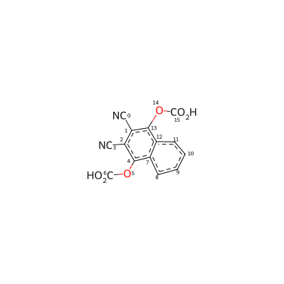 N#Cc1c(C#N)c(OC(=O)O)c2ccccc2c1OC(=O)O